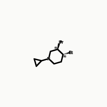 CC[C@@H]1CCN(C2CC2)C[C@H]1C(C)C